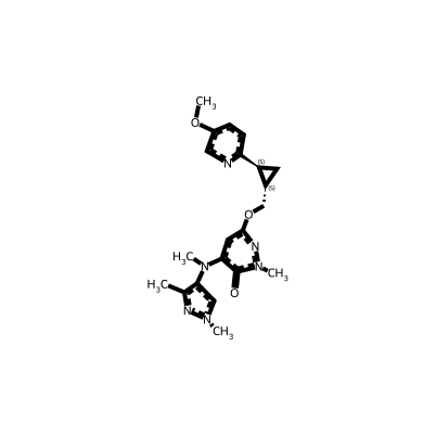 COc1ccc([C@H]2C[C@@H]2COc2cc(N(C)c3cn(C)nc3C)c(=O)n(C)n2)nc1